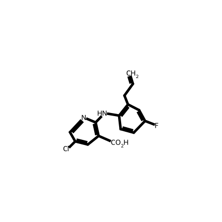 C=CCc1cc(F)ccc1Nc1ncc(Cl)cc1C(=O)O